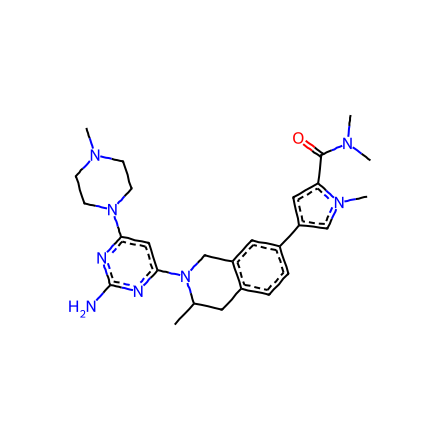 CC1Cc2ccc(-c3cc(C(=O)N(C)C)n(C)c3)cc2CN1c1cc(N2CCN(C)CC2)nc(N)n1